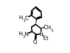 CCN1C(=O)C(N)C[C@@H](c2ccccc2C)[C@H]1C